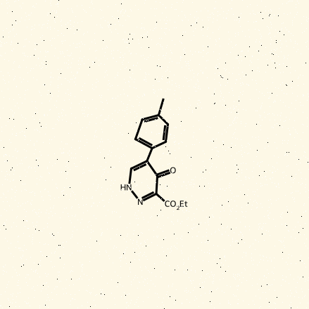 CCOC(=O)c1n[nH]cc(-c2ccc(C)cc2)c1=O